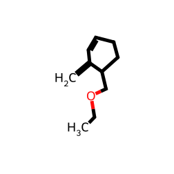 C=C1C=CCCC1COCC